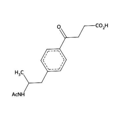 CC(=O)NC(C)Cc1ccc(C(=O)CCC(=O)O)cc1